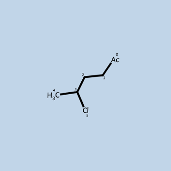 CC(=O)CCC(C)Cl